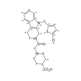 O=C(O)C1CCN(CC(=O)N2CCc3c(n(Cc4ccc(Cl)s4)c4ccccc34)C2)CC1